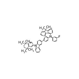 CC1(C)CCC(C)(C)c2cc(-n3c4ccccc4c4cc(-c5ccc(N(c6cccc(F)c6)c6cccc7c6-c6ccccc6C7(C)C)cc5)ccc43)ccc21